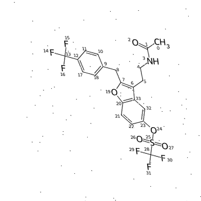 CC(=O)NCCc1c(Cc2ccc(C(F)(F)F)cc2)oc2ccc(OS(=O)(=O)C(F)(F)F)cc12